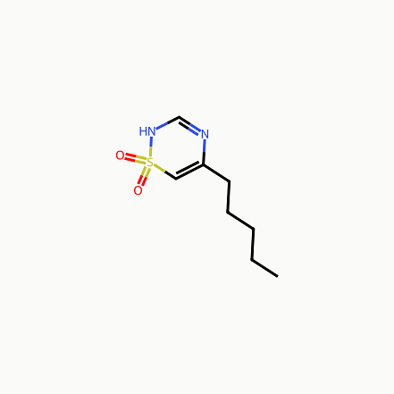 CCCCCC1=CS(=O)(=O)NC=N1